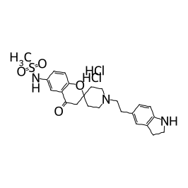 CS(=O)(=O)Nc1ccc2c(c1)C(=O)CC1(CCN(CCc3ccc4c(c3)CCN4)CC1)O2.Cl.Cl